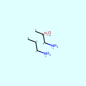 CCCN.CCCN.O